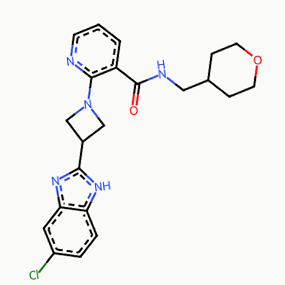 O=C(NCC1CCOCC1)c1cccnc1N1CC(c2nc3cc(Cl)ccc3[nH]2)C1